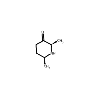 C[C@H]1CCC(=O)[C@@H](C)N1